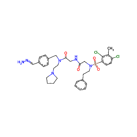 Cc1c(Cl)ccc(S(=O)(=O)N(CCc2ccccc2)CC(=O)NCC(=O)N(CCN2CCCC2)Cc2ccc(C=NN)cc2)c1Cl